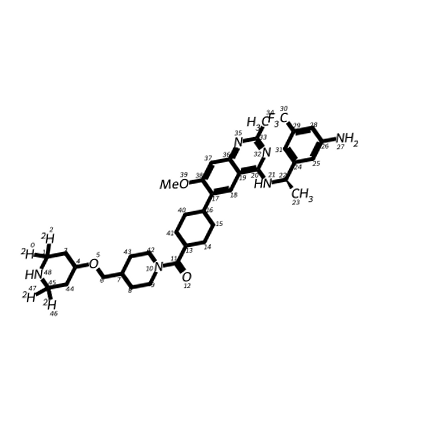 [2H]C1([2H])CC(OCC2CCN(C(=O)C3CCC(c4cc5c(N[C@H](C)c6cc(N)cc(C(F)(F)F)c6)nc(C)nc5cc4OC)CC3)CC2)CC([2H])([2H])N1